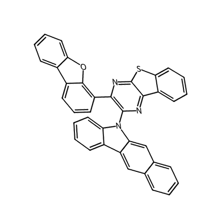 c1ccc2cc3c(cc2c1)c1ccccc1n3-c1nc2c(nc1-c1cccc3c1oc1ccccc13)sc1ccccc12